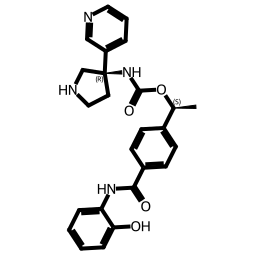 C[C@H](OC(=O)N[C@@]1(c2cccnc2)CCNC1)c1ccc(C(=O)Nc2ccccc2O)cc1